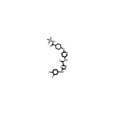 CS(=O)(=O)NC(=O)C1CCC(Oc2ccc(NC(=O)c3nnc(Nc4ccc(F)c(F)c4)o3)cn2)CC1